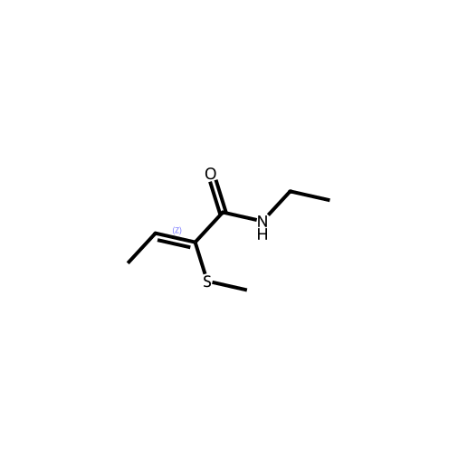 C/C=C(\SC)C(=O)NCC